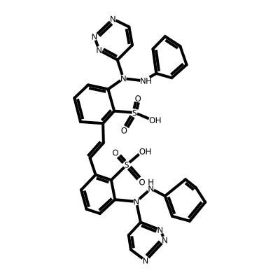 O=S(=O)(O)c1c(/C=C/c2cccc(N(Nc3ccccc3)c3ccnnn3)c2S(=O)(=O)O)cccc1N(Nc1ccccc1)c1ccnnn1